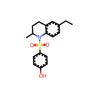 CCc1ccc2c(c1)CCC(C)N2S(=O)(=O)c1ccc(O)cc1